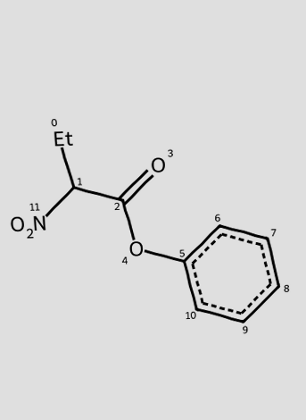 CCC(C(=O)Oc1ccccc1)[N+](=O)[O-]